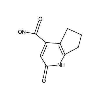 O=NC(=O)c1cc(=O)[nH]c2c1CCC2